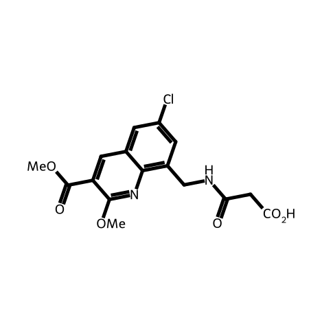 COC(=O)c1cc2cc(Cl)cc(CNC(=O)CC(=O)O)c2nc1OC